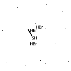 Br.Br.Br.CS